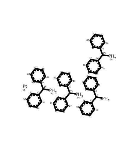 PC(c1ccccc1)c1ccccc1.PC(c1ccccc1)c1ccccc1.PC(c1ccccc1)c1ccccc1.PC(c1ccccc1)c1ccccc1.[Pt]